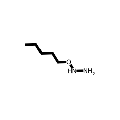 CCCCCONN